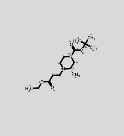 CCOC(=O)CCN1CCN(C(=O)OC(C)(C)C)C[C@@H]1C